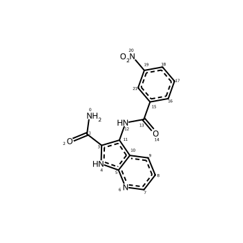 NC(=O)c1[nH]c2ncccc2c1NC(=O)c1cccc([N+](=O)[O-])c1